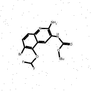 CC(C)(C)OC(=O)Nc1cc2c(OC(F)F)c(Br)ccc2nc1N